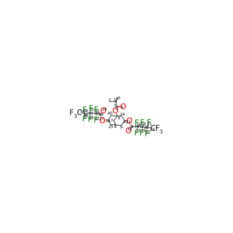 C=C(C)C(=O)OC12CC(CC(OC(=O)C(F)(F)C(F)(F)C(F)(F)C(F)(F)F)C1)CC(OC(=O)C(F)(F)C(F)(F)C(F)(F)C(F)(F)F)C2